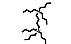 CCCC[N+](CCCC)(CCCC)CCCC[N+](CCCC)(CCCC)CCCC